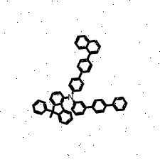 CC1(c2ccccc2)c2ccccc2-c2c(N(c3ccc(-c4ccc(-c5cccc6ccccc56)cc4)cc3)c3cccc(-c4ccc(-c5ccccc5)cc4)c3)cccc21